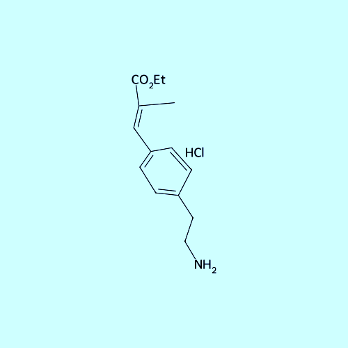 CCOC(=O)C(C)=Cc1ccc(CCN)cc1.Cl